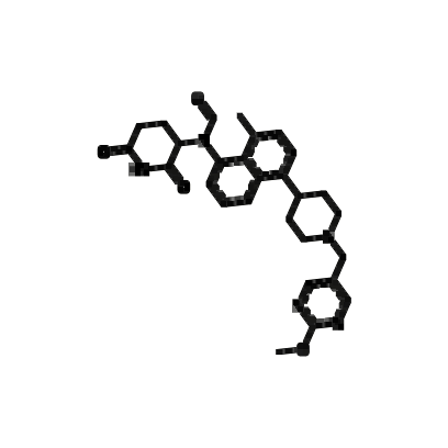 COc1ncc(CN2CCC(c3ccc(C)c4c(N(C=O)C5CCC(=O)NC5=O)cccc34)CC2)cn1